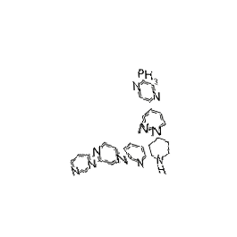 C1CCNCC1.P.c1ccncc1.c1ccnnc1.c1cnccn1.c1cnccn1.c1cncnc1